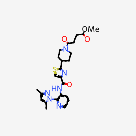 COC(=O)CCC(=O)N1CCC(c2nc(C(=O)Nc3cccnc3-n3nc(C)cc3C)cs2)CC1